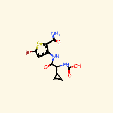 NC(=O)c1sc(Br)cc1NC(=O)C(NC(=O)O)C1CC1